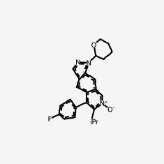 CC(C)c1c(-c2ccc(F)cc2)c2cc3cnn(C4CCCCO4)c3cc2c[n+]1[O-]